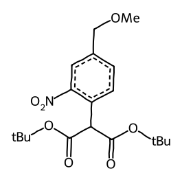 COCc1ccc(C(C(=O)OC(C)(C)C)C(=O)OC(C)(C)C)c([N+](=O)[O-])c1